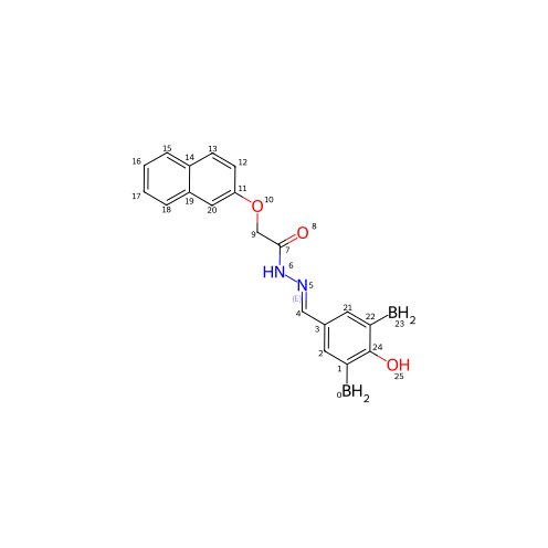 Bc1cc(/C=N/NC(=O)COc2ccc3ccccc3c2)cc(B)c1O